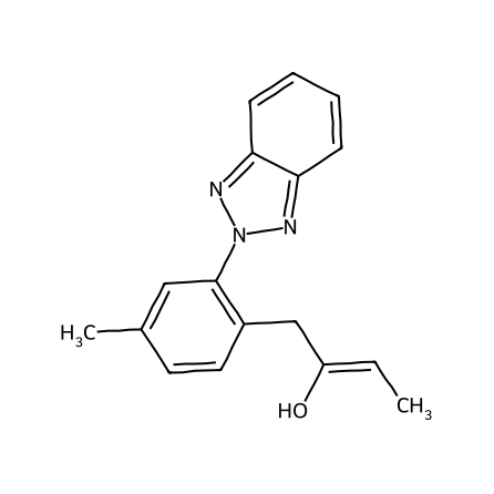 CC=C(O)Cc1ccc(C)cc1-n1nc2ccccc2n1